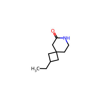 CCC1CC2(CCNC(=O)C2)C1